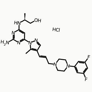 Cc1c(C=CCN2CCN(c3cc(F)cc(F)c3)CC2)cnn1-c1cc(N[C@@H](C)CO)nc(N)n1.Cl